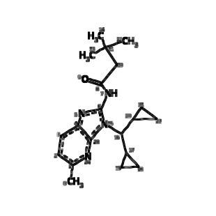 Cc1ccc2nc(NC(=O)CC(C)(C)C)n(C(C3CC3)C3CC3)c2n1